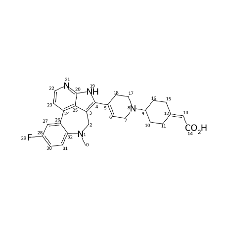 CN1Cc2c(C3=CCN(C4CCC(=CC(=O)O)CC4)CC3)[nH]c3nccc(c23)-c2cc(F)ccc21